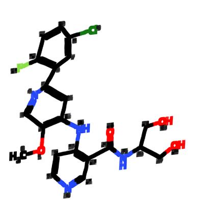 COc1cnc(-c2cc(Cl)ccc2F)cc1Nc1ccncc1C(=O)NC(CO)CO